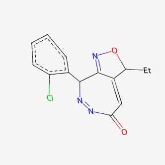 CCC1ON=C2C1=CC(=O)N=NC2c1ccccc1Cl